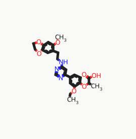 CCOc1cc(-c2cc(NCCc3cc4c(cc3OC)OCCO4)ncn2)ccc1OC(C)C(=O)O